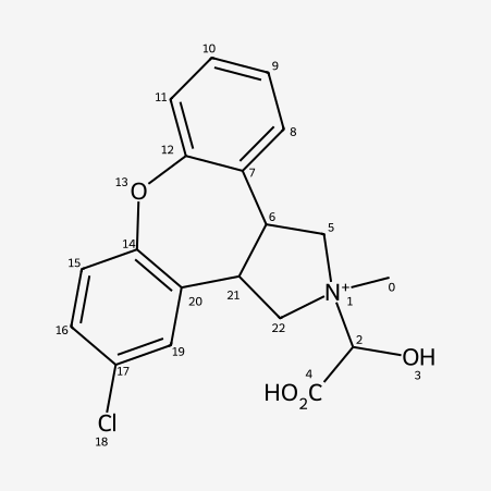 C[N+]1(C(O)C(=O)O)CC2c3ccccc3Oc3ccc(Cl)cc3C2C1